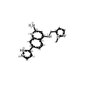 Cn1nccc1CNc1cc(N)nc2cc(-c3ccn[nH]3)ccc12